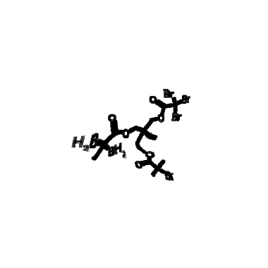 BC(B)(C)C(=O)OCC(C)(COC(=O)C(C)(C)Br)COC(=O)C(Br)(Br)Br